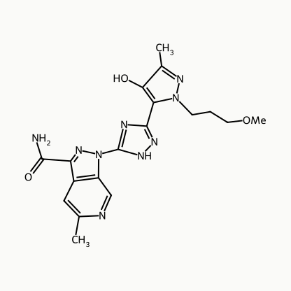 COCCCn1nc(C)c(O)c1-c1n[nH]c(-n2nc(C(N)=O)c3cc(C)ncc32)n1